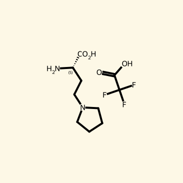 N[C@@H](CCN1CCCC1)C(=O)O.O=C(O)C(F)(F)F